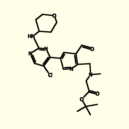 CN(CC(=O)OC(C)(C)C)Cc1ncc(-c2nc(NC3CCOCC3)ncc2Cl)cc1C=O